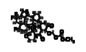 COC(=O)OCOc1c2n(ccc1=O)N([C@@H]1c3ccccc3-c3scc4c3-c3c1ccc(F)c3CC4(F)F)[C@@H]1COCCN1C2=O